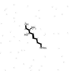 CCCCCCCCC/C=C/[C@H](O)[C@H](N)CO